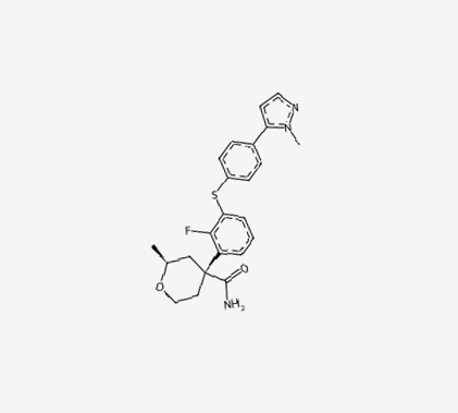 C[C@H]1C[C@@](C(N)=O)(c2cccc(Sc3ccc(-c4ccnn4C)cc3)c2F)CCO1